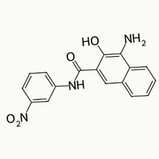 Nc1c(O)c(C(=O)Nc2cccc([N+](=O)[O-])c2)cc2ccccc12